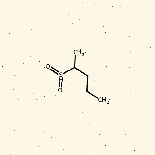 [CH2]CCC(C)[SH](=O)=O